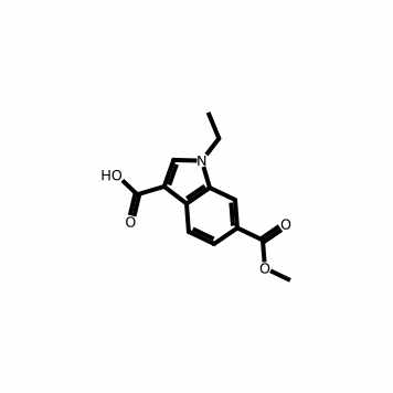 CCn1cc(C(=O)O)c2ccc(C(=O)OC)cc21